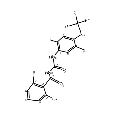 Cc1cc(SC(F)(F)F)c(C)cc1NC(=O)NC(=O)c1c(F)cccc1F